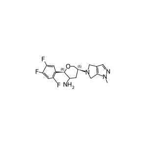 Cn1ncc2c1CN([C@@H]1CO[C@H](c3cc(F)c(F)cc3F)C(N)C1)C2